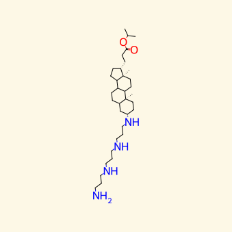 CC(C)OC(=O)CC[C@H]1CCC2C3CCC4C[C@@H](NCCCNCCCNCCCN)CC[C@]4(C)C3CC[C@@]21C